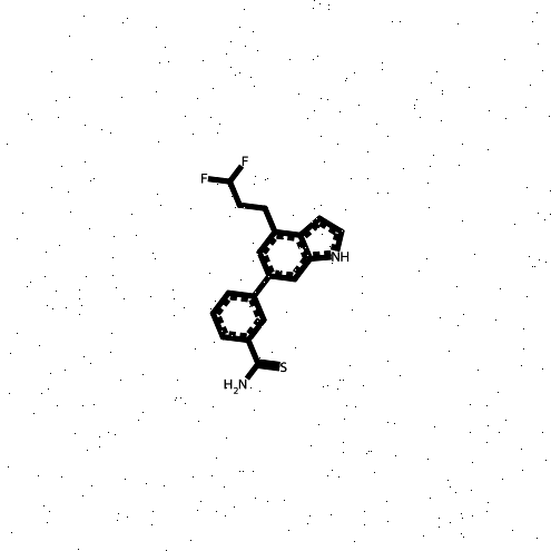 NC(=S)c1cccc(-c2cc(CCC(F)F)c3cc[nH]c3c2)c1